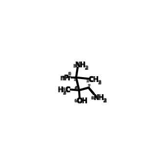 CCCC(C)(N)C(C)(O)CN